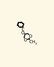 CC1OCC(OCc2ccccc2)CO1